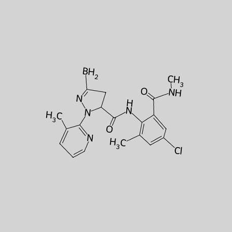 BC1=NN(c2ncccc2C)C(C(=O)Nc2c(C)cc(Cl)cc2C(=O)NC)C1